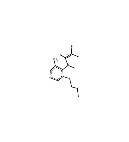 CCCSc1cccc(P)c1N(C)/C(Cl)=C(\C)Cl